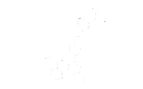 COc1ccc(C(=O)N(CC(C)(C)C)C2=CC(C)=CNN2)c(N2CCC(COc3cc(C(CC(=O)O)C4CC4)ccn3)CC2)c1